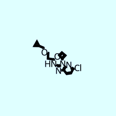 O=C(CCOCC1CC1)Nc1nc2ccc(Cl)nc2n1C1=CC=C1